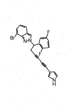 Fc1ccc(F)c(C(CC#CC#Cc2cc[nH]c2)n2cc3cccc(Br)c3n2)c1